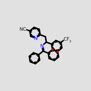 N#Cc1ccc(CC(N=C(c2ccccc2)c2ccccc2)c2cccc(C(F)(F)F)c2)nc1